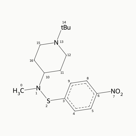 CN(Sc1ccc([N+](=O)[O-])cc1)C1CCN(C(C)(C)C)CC1